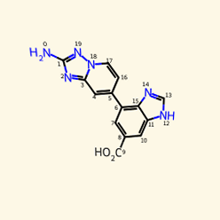 Nc1nc2cc(-c3cc(C(=O)O)cc4[nH]cnc34)ccn2n1